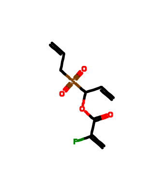 C=CCS(=O)(=O)C(C=C)OC(=O)C(=C)F